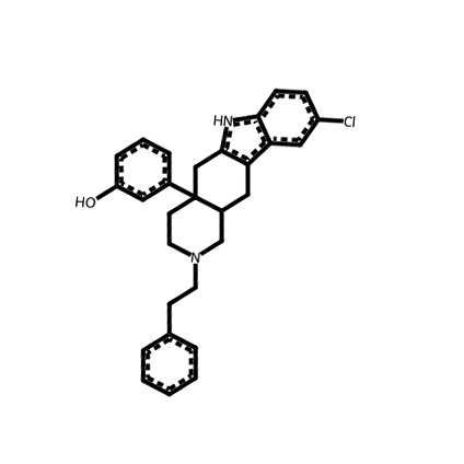 Oc1cccc(C23CCN(CCc4ccccc4)CC2Cc2c([nH]c4ccc(Cl)cc24)C3)c1